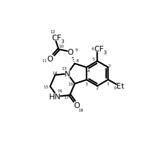 CCc1cc2c(c(C(F)(F)F)c1)[C@@H](OC(=O)C(F)(F)F)N1CCNC(=O)C21